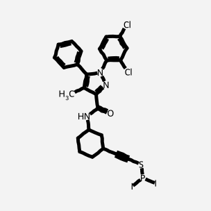 Cc1c(C(=O)NC2CCCC(C#CSP(I)I)C2)nn(-c2ccc(Cl)cc2Cl)c1-c1ccccc1